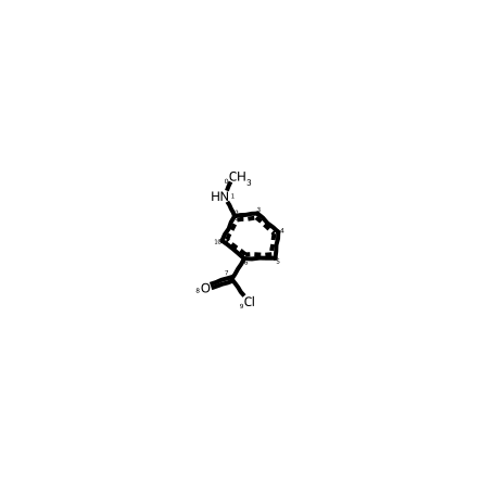 CNc1cccc(C(=O)Cl)c1